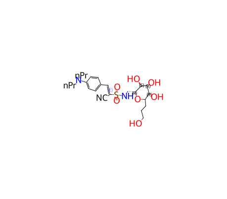 CCCN(CCC)c1ccc(/C=C(\C#N)S(=O)(=O)NC[C@H]2OC(CCCO)[C@H](O)[C@@H](O)[C@@H]2O)cc1